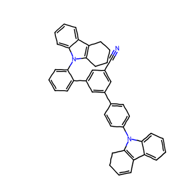 N#Cc1cc(-c2ccc(-n3c4c(c5ccccc53)C=CCC4)cc2)cc(-c2ccccc2-n2c3c(c4ccccc42)CCCC3)c1